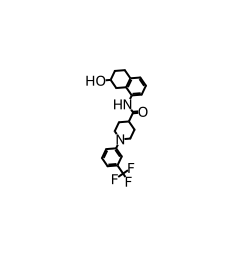 O=C(Nc1cccc2c1CC(O)CC2)C1CCN(c2cccc(C(F)(F)F)c2)CC1